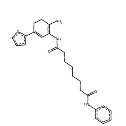 NC1=C(NC(=O)CCCCCCC(=O)Nc2ccccc2)C=C(c2cccs2)CC1